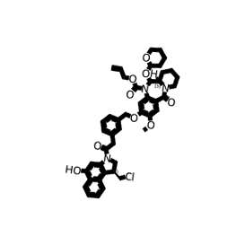 C=CCOC(=O)N1c2cc(OCc3cccc(CC(=O)N4C[C@@H](CCl)c5c4cc(O)c4ccccc54)c3)c(OC)cc2C(=O)N2CCCC[C@H]2C1OC1CCCCO1